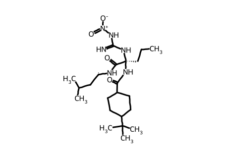 CCC[C@](NC(=N)N[N+](=O)[O-])(NC(=O)C1CCC(C(C)(C)C)CC1)C(=O)N[CH]CC(C)C